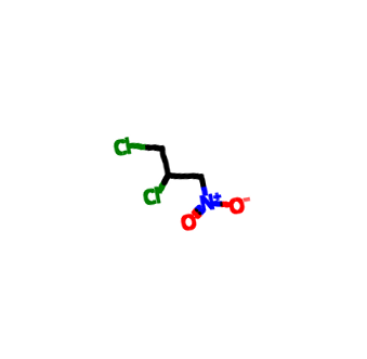 O=[N+]([O-])CC(Cl)CCl